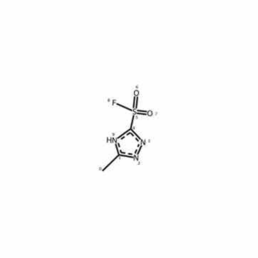 Cc1nnc(S(=O)(=O)F)[nH]1